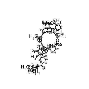 CO[C@@H](C)c1ncccc1-c1c2c3cc(ccc3n1CC(F)(F)F)-c1nc(nn1C)C[C@H](NC(=O)[C@H](C(C)C)N(C)C(=O)C1(F)CCN(C(=O)C#CC(C)(C)N(C)C)CC1)C(=O)N1CCC[C@H](N1)C(=O)OCC(C)(C)C2